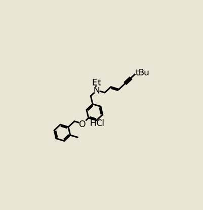 CCN(CC=CC#CC(C)(C)C)Cc1cccc(OCc2ccccc2C)c1.Cl